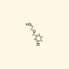 OCCOCc1cccc(Cl)c1